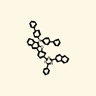 c1ccc(-c2ccc(N(c3ccc(-c4ccccc4)cc3)c3c4ccccc4cc4c3oc3cc(-c5nc(-c6ccccc6)nc(-c6ccc7ccccc7c6)n5)ccc34)cc2)cc1